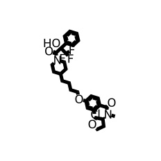 CN(C(=O)c1ccc(OCCCCC2CCN(C(=O)[C@](O)(c3ccccc3)C(F)(F)F)CC2)cc1Cl)[C@H]1CCOC1